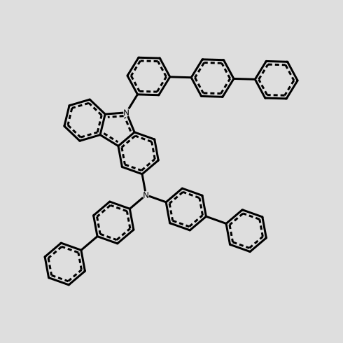 c1ccc(-c2ccc(-c3cccc(-n4c5ccccc5c5cc(N(c6ccc(-c7ccccc7)cc6)c6ccc(-c7ccccc7)cc6)ccc54)c3)cc2)cc1